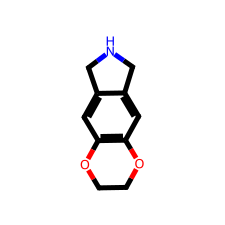 c1c2c(cc3c1OCCO3)CNC2